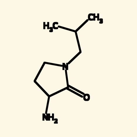 CC(C)CN1CCC(N)C1=O